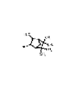 CC1C(O)C2CC1C(C)(C)C2(C)C